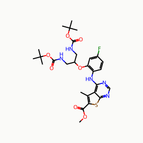 COC(=O)c1sc2ncnc(Nc3ccc(F)cc3OC(CNC(=O)OC(C)(C)C)CNC(=O)OC(C)(C)C)c2c1C